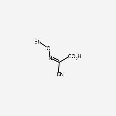 CCON=C(C#N)C(=O)O